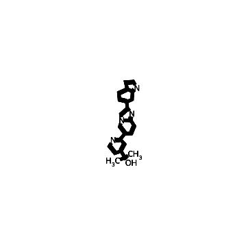 CC(C)(O)c1ccnc(-c2ccc3nc(C4=CC=C5C=CN=C5C4)cn3c2)c1